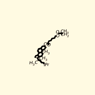 C=C(C)C(=O)OCCCCCC(=O)OC1CC[C@@]2(C)C(=CCC3C2CC[C@@]2(C)C3CC[C@@H]2[C@H](C)CCCC(C)C)C1